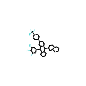 Fc1cc(-c2c3ccccc3c(-c3ccc4ccccc4c3)c3ccc(-c4ccc(C(F)(F)F)cc4)cc23)cc(F)c1F